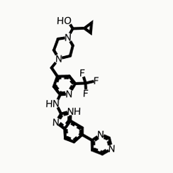 OC(C1CC1)N1CCN(Cc2cc(Nc3nc4ccc(-c5ccncn5)cc4[nH]3)nc(C(F)(F)F)c2)CC1